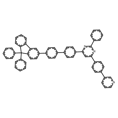 c1ccc(-c2nc(-c3ccc(-c4ccc(-c5ccc6c(c5)-c5ccccc5C6(c5ccccc5)c5ccccc5)cc4)cc3)cc(-c3ccc(-c4cccnc4)cc3)n2)cc1